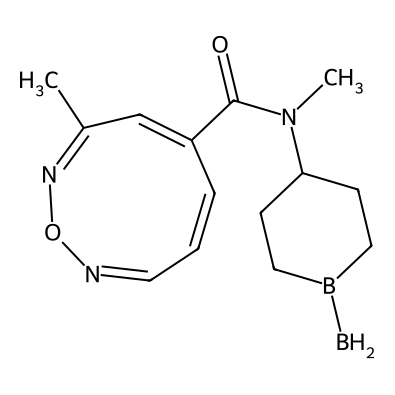 BB1CCC(N(C)C(=O)c2cccnonc(C)c2)CC1